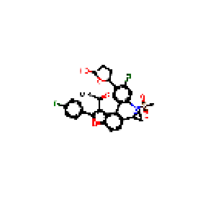 CNC(=O)c1c(-c2ccc(F)cc2)oc2ccc(C3CC3)c(-c3cc(C4CCB(O)O4)c(Cl)cc3NS(C)(=O)=O)c12